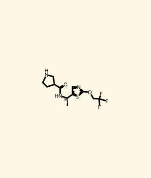 C[C@@H](NC(=O)C1CCNC1)c1cnc(OCC(F)(F)F)s1